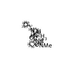 CNC(C)C(=O)N[C@H](C(=O)N1CC[C@H]2CCN(CCc3ccccc3)C[C@H]21)C1CCCCC1